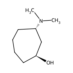 CN(C)[C@H]1CCCC[C@H](O)C1